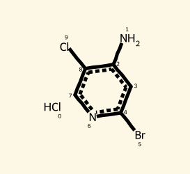 Cl.Nc1cc(Br)ncc1Cl